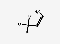 C/C=C\C(C)(Br)Br